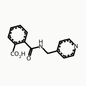 O=C(O)c1ccccc1C(=O)NCc1ccncc1